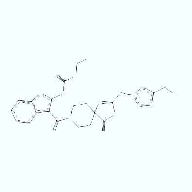 CCNC(=O)Nc1sc2ccccc2c1C(=O)N1CCC2(CC1)N=C(Cn1cc(CO)nn1)NC2=O